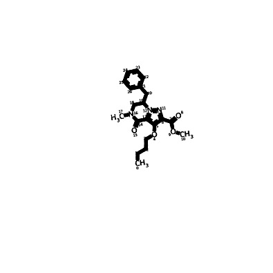 CCCCOc1c(C(=O)OC)nn2c1C(=O)N(C)CC2Cc1ccccc1